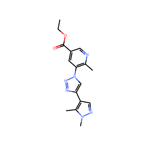 CCOC(=O)c1cnc(C)c(-n2cc(-c3cnn(C)c3C)nn2)c1